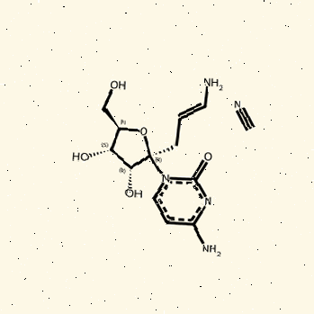 C#N.NC=CC[C@@]1(n2ccc(N)nc2=O)O[C@H](CO)[C@@H](O)[C@H]1O